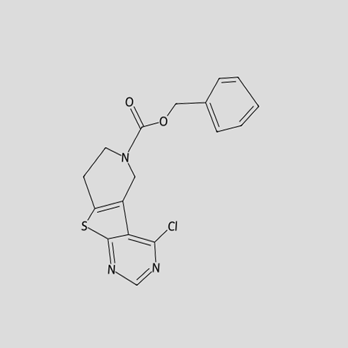 O=C(OCc1ccccc1)N1CCc2sc3ncnc(Cl)c3c2C1